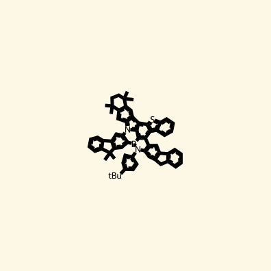 CC(C)(C)c1ccc(N2B3c4cc5c(cc4-n4c6cc7c(cc6c6c8sc9ccccc9c8c(c3c64)-c3cc4c(cc32)Cc2ccccc2-4)C(C)(C)CCC7(C)C)-c2ccccc2C5(C)C)cc1